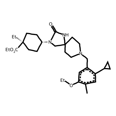 CCOc1cc(CN2CCC3(CC2)CN([C@H]2CC[C@](CC)(C(=O)OCC)CC2)C(=O)N3)c(C2CC2)cc1C